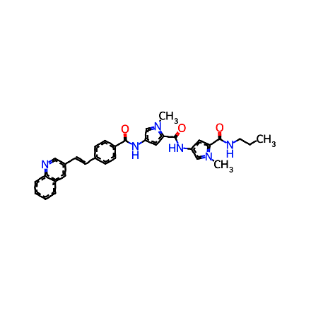 CCCNC(=O)c1cc(NC(=O)c2cc(NC(=O)c3ccc(C=Cc4cnc5ccccc5c4)cc3)cn2C)cn1C